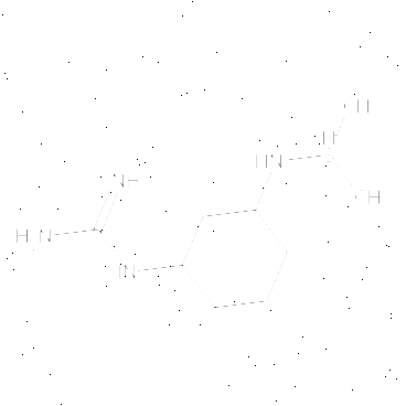 C[SH](C)NC1CCCC(NC(=N)N)C1